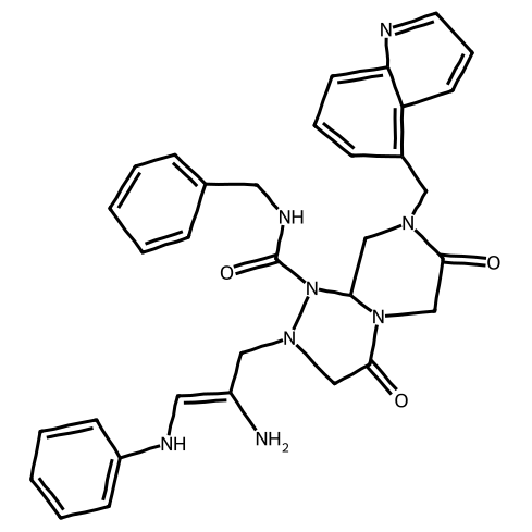 N/C(=C\Nc1ccccc1)CN1CC(=O)N2CC(=O)N(Cc3cccc4ncccc34)CC2N1C(=O)NCc1ccccc1